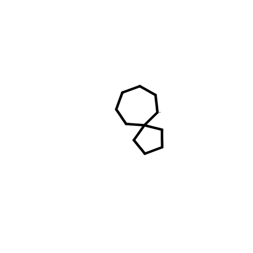 [CH]1CCCCCC12CCCC2